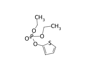 CCOP(=O)(OCC)Oc1cccs1